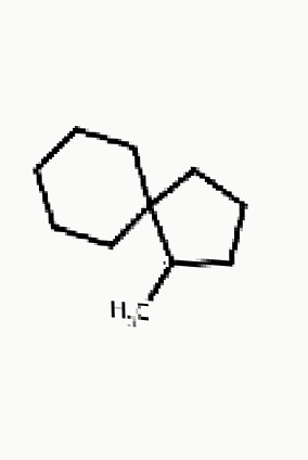 C[C]1CCCC12CCCCC2